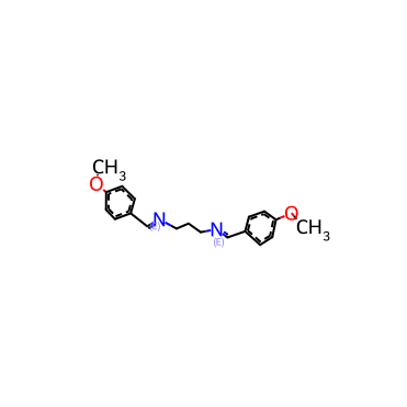 COc1ccc(/C=N/CCC/N=C/c2ccc(OC)cc2)cc1